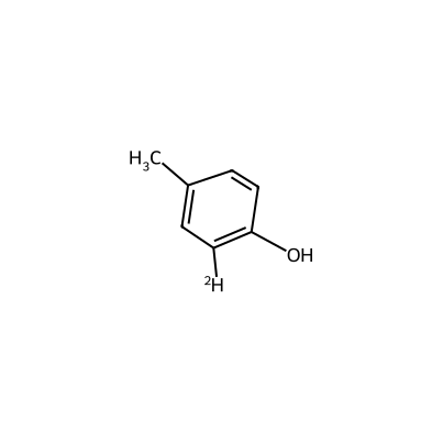 [2H]c1cc(C)ccc1O